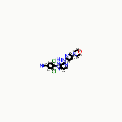 N#Cc1cc(Cl)c(-c2nc3ccnc(Nc4ccc(N5CCOCC5)cn4)c3[nH]2)c(Cl)c1